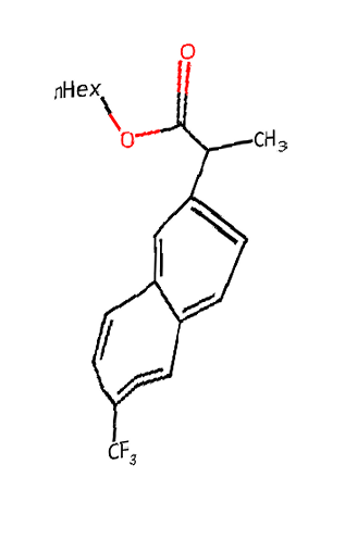 CCCCCCOC(=O)C(C)c1ccc2cc(C(F)(F)F)ccc2c1